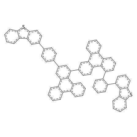 c1ccc(-c2cccc3c4ccccc4c4cc(-c5cc(-c6ccc(-c7ccc8sc9ccccc9c8c7)cc6)cc6c7ccccc7c7ccccc7c56)ccc4c23)c(-c2cccc3sc4ccccc4c23)c1